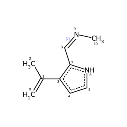 C=C(C)c1cc[nH]c1/C=N\C